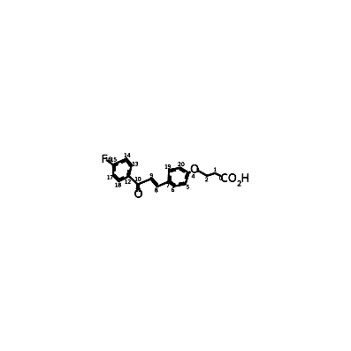 O=C(O)CCOc1ccc(/C=C/C(=O)c2ccc(F)cc2)cc1